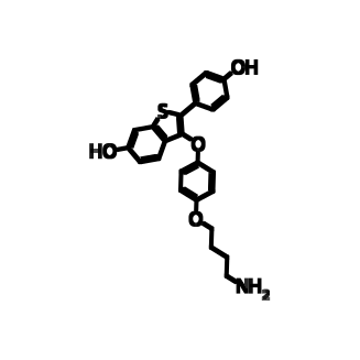 NCCCCOc1ccc(Oc2c(-c3ccc(O)cc3)sc3cc(O)ccc23)cc1